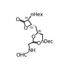 CCCCCCCCCCC[C@H](C[C@@H]1OC(=O)[C@H]1CCCCCC)OC(=O)CNC=O